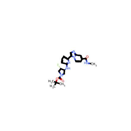 CNC(=O)c1ccn2c(-c3cccc(N[C@H]4CN(C(=O)OC(C)(C)C)C[C@@H]4F)n3)cnc2c1